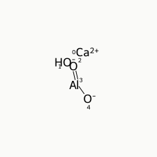 [Ca+2].[OH-].[O]=[Al][O-]